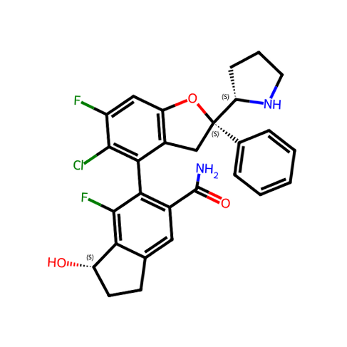 NC(=O)c1cc2c(c(F)c1-c1c(Cl)c(F)cc3c1C[C@](c1ccccc1)([C@@H]1CCCN1)O3)[C@@H](O)CC2